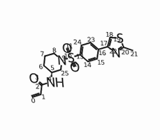 C=CC(=O)N[C@H]1CCCN(S(=O)(=O)c2ccc(-c3csc(C)n3)cc2)C1